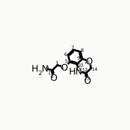 NC(=O)COc1cccc2c1NC(=O)CO2